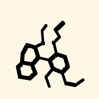 C=CCOc1ccc(/C=C\C)c(CC)c1-c1c(OCC)ccc2ccccc12